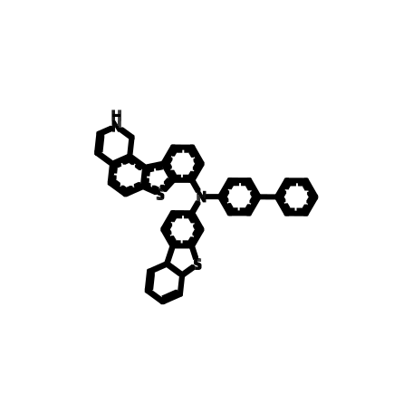 C1=CC2Sc3cc(N(c4ccc(-c5ccccc5)cc4)c4cccc5c4sc4ccc6c(c45)CNC=C6)ccc3C2C=C1